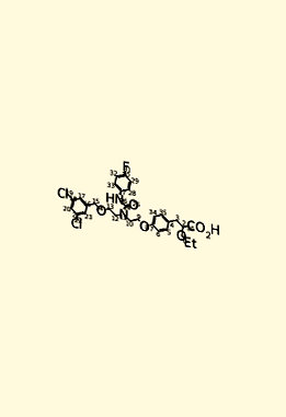 CCOC(Cc1ccc(OCCN(CCOCc2cc(Cl)cc(Cl)c2)C(=O)Nc2ccc(F)cc2)cc1)C(=O)O